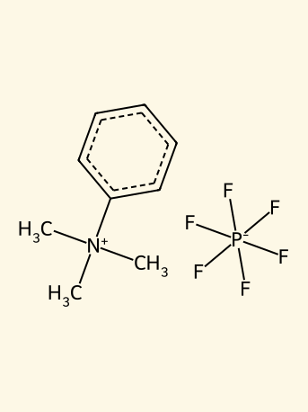 C[N+](C)(C)c1ccccc1.F[P-](F)(F)(F)(F)F